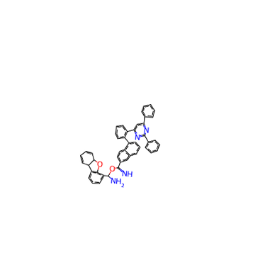 N=C(OC(N)c1cccc2c1OC1C=CC=CC21)c1ccc2c(-c3ccccc3-c3cc(-c4ccccc4)nc(-c4ccccc4)n3)cccc2c1